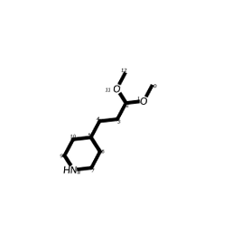 COC(CCC1CCNCC1)OC